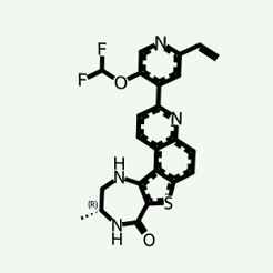 C=Cc1cc(-c2ccc3c(ccc4sc5c(c43)NC[C@@H](C)NC5=O)n2)c(OC(F)F)cn1